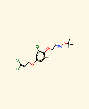 CC(C)(C)O/N=C/COc1c(Cl)cc(OCC=C(Cl)Cl)cc1Cl